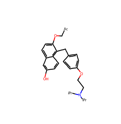 CC(=O)COc1ccc2cc(O)ccc2c1Cc1ccc(OCCN(C(C)C)C(C)C)cc1